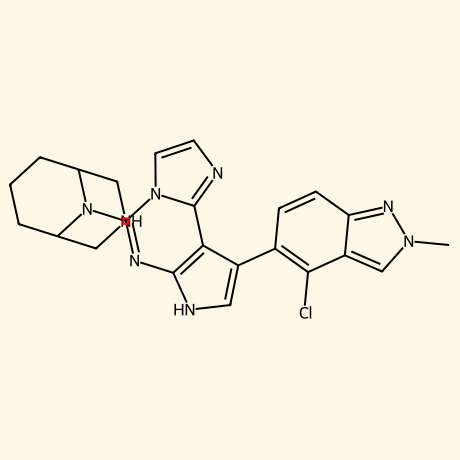 Cn1cc2c(Cl)c(-c3c[nH]c4nc(N5C6CCCC5CNC6)n5ccnc5c34)ccc2n1